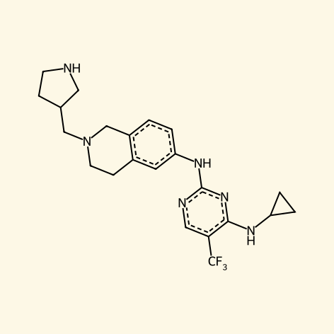 FC(F)(F)c1cnc(Nc2ccc3c(c2)CCN(CC2CCNC2)C3)nc1NC1CC1